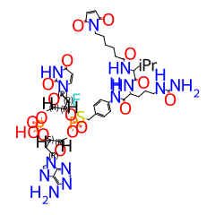 CC(C)C(NC(=O)CCCCCN1C(=O)C=CC1=O)C(=O)NC(CCCNC(N)=O)C(=O)Nc1ccc(CSP2(=O)OC[C@H]3O[C@@H](n4cnc5c(N)ncnc54)C[C@@H]3OP(=O)(O)OC[C@H]3O[C@@H](n4ccc(=O)[nH]c4=O)[C@H](F)[C@@H]3O2)cc1